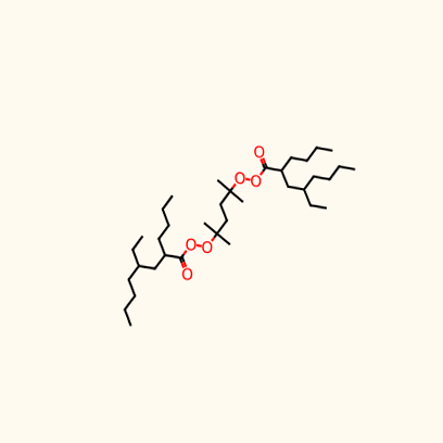 CCCCC(CC)CC(CCCC)C(=O)OOC(C)(C)CCC(C)(C)OOC(=O)C(CCCC)CC(CC)CCCC